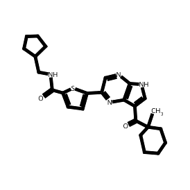 CC1(C(=O)c2c[nH]c3ncc(-c4ccc(C(=O)NCC5CCCC5)s4)nc23)CCCCC1